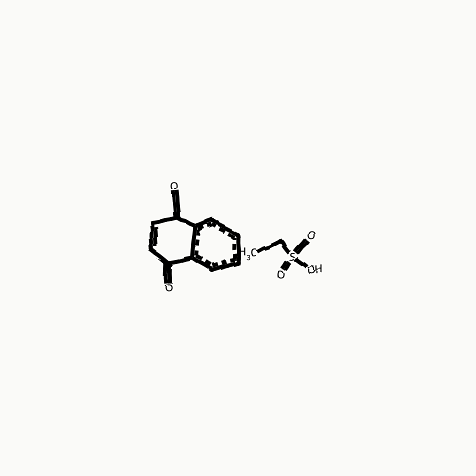 CCS(=O)(=O)O.O=C1C=CC(=O)c2ccccc21